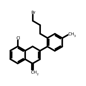 C=C1C=C(c2ccc(C)cc2CCCBr)Cc2c(Cl)cccc21